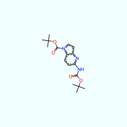 CC(C)(C)OC(=O)Nc1ccc2c(ccn2C(=O)OC(C)(C)C)n1